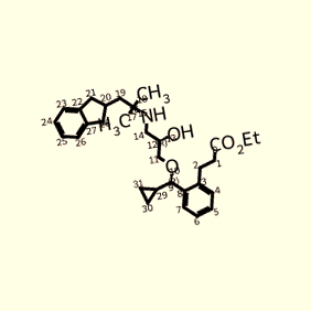 CCOC(=O)CCc1ccccc1[C@H](OC[C@H](O)CNC(C)(C)CC1Cc2ccccc2C1)C1CC1